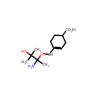 CCOC(=O)C1CC=C(BOC(C)(N)C(C)(C)O)CC1